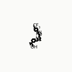 Cc1cc(-c2nc(-c3ccc(SC(F)(F)F)cc3)no2)nn1Cc1cccc(C2(CO)CC2)c1